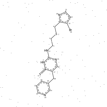 S=c1[nH]c(NCCSCc2nscc2Br)ncc1Cc1cccnc1